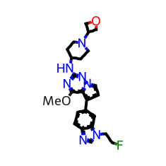 COc1nc(NC2CCN(C3COC3)CC2)nn2ccc(-c3ccc4ncn(CCF)c4c3)c12